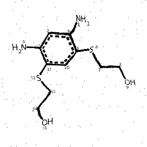 Nc1cc(N)c(SCCO)cc1SCCO